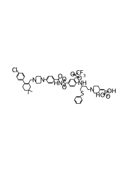 CC1(C)CCC(c2ccc(Cl)cc2)=C(CN2CCN(c3ccc(C(=O)NS(=O)(=O)c4ccc(NC(CCN5CCC(=CP(=O)(O)O)CC5)CSc5ccccc5)c(S(=O)(=O)C(F)(F)F)c4)cc3)CC2)C1